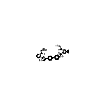 CC(C)(C)OC(=O)N1CCC[C@H]1c1nc(-c2ccc(-c3ccc4[nH]c([C@@H]5CC6(CC6)CN5C(=O)OC(C)(C)C)nc4c3)cc2)c[nH]1